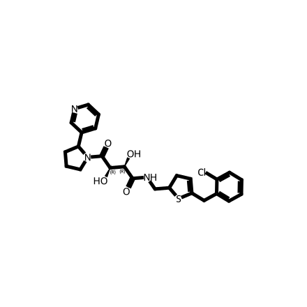 O=C(NCC1CC=C(Cc2ccccc2Cl)S1)[C@H](O)[C@@H](O)C(=O)N1CCCC1c1cccnc1